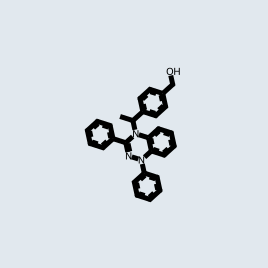 CC(c1ccc(CO)cc1)N1C(c2ccccc2)=NN(c2ccccc2)c2ccccc21